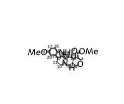 COC(=O)C1=COC[C@@H]2CN3CCc4c([nH]c5ccc(OC)cc45)[C@@H]3C[C@H]12